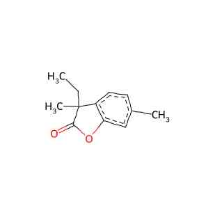 CCC1(C)C(=O)Oc2cc(C)ccc21